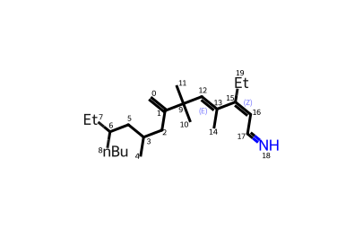 C=C(CC(C)CC(CC)CCCC)C(C)(C)/C=C(C)/C(=C\C=N)CC